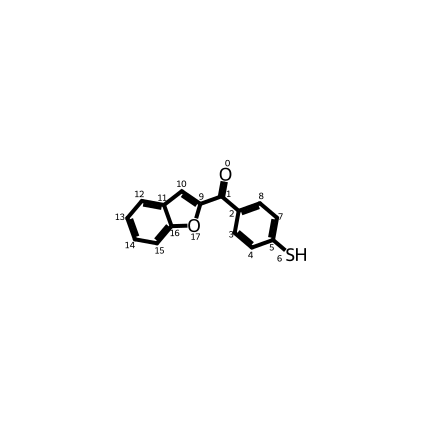 O=C(c1ccc(S)cc1)c1cc2ccccc2o1